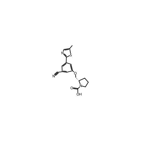 Cc1cnc(-c2cc(C#N)cc(OC[C@@H]3CCCN3C(=O)O)c2)s1